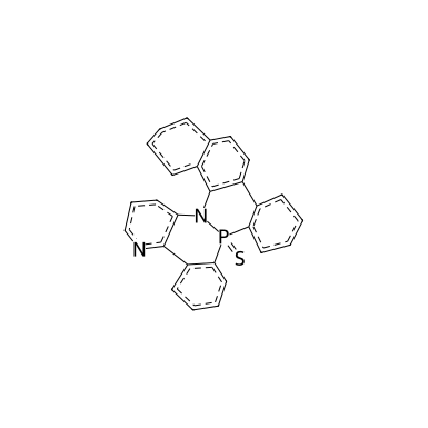 S=P12c3ccccc3-c3ccc4ccccc4c3N1c1cccnc1-c1ccccc12